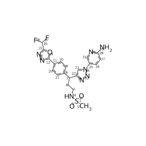 CS(=O)(=O)NCCC(c1ccc(-c2nnc(C(F)F)o2)cc1)c1cn(-c2ccc(N)nc2)nn1